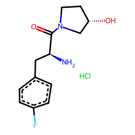 Cl.N[C@@H](Cc1ccc(F)cc1)C(=O)N1CC[C@H](O)C1